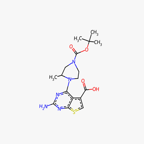 CC1CN(C(=O)OC(C)(C)C)CCN1c1nc(N)nc2scc(C(=O)O)c12